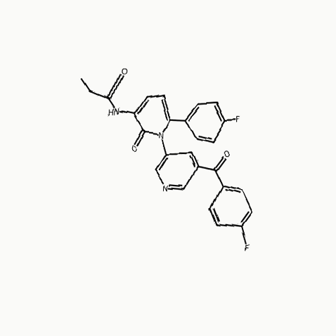 CCC(=O)Nc1ccc(-c2ccc(F)cc2)n(-c2cncc(C(=O)c3ccc(F)cc3)c2)c1=O